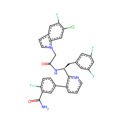 NC(=O)c1cc(-c2cccnc2[C@H](Cc2cc(F)cc(F)c2)NC(=O)Cn2ccc3cc(F)c(Cl)cc32)ccc1F